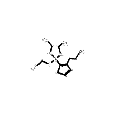 CCCC1=[C]([Ti]([O]CC)([O]CC)[O]CC)CC=C1